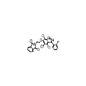 O=C1c2ccccc2C(=O)N1CCOc1c(Cl)c(Cl)c2c(-c3ccccc3F)noc2c1Cl